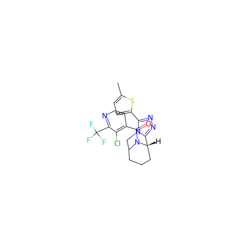 Cc1ccc(-c2nnc3n2CC2CCC[C@@H]3N2C(=O)c2ccnc(C(F)(F)F)c2Cl)s1